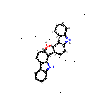 c1ccc2c(c1)[nH]c1c2ccc2oc3c(ccc4[nH]c5ccccc5c43)c21